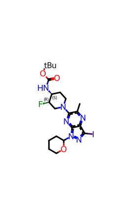 Cc1nc2c(I)nn(C3CCCCO3)c2nc1N1CC[C@H](NC(=O)OC(C)(C)C)[C@H](F)C1